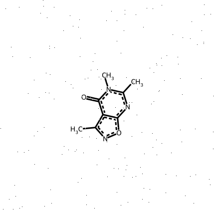 Cc1noc2nc(C)n(C)c(=O)c12